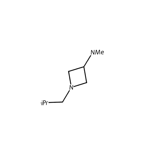 CNC1CN(C[C](C)C)C1